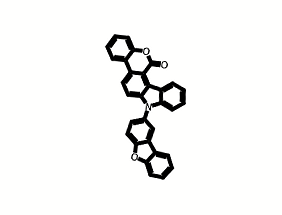 O=c1oc2ccccc2c2ccc3c(c4ccccc4n3-c3ccc4oc5ccccc5c4c3)c12